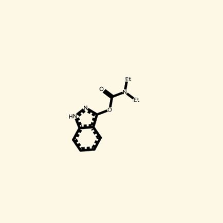 CCN(CC)C(=O)Oc1n[nH]c2ccccc12